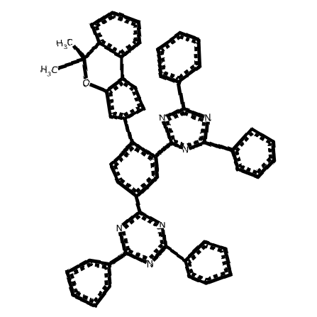 CC1(C)Oc2cc(-c3ccc(-c4nc(-c5ccccc5)nc(-c5ccccc5)n4)cc3-c3nc(-c4ccccc4)nc(-c4ccccc4)n3)ccc2-c2ccccc21